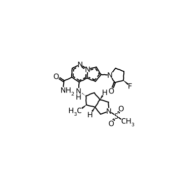 C[C@@H]1[C@H]2CN(S(C)(=O)=O)C[C@H]2C[C@H]1Nc1c(C(N)=O)cnn2cc(N3CC[C@@H](F)C3=O)cc12